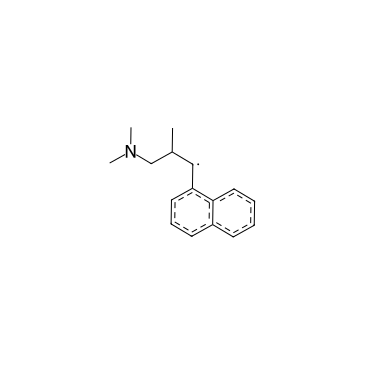 CC([CH]c1cccc2ccccc12)CN(C)C